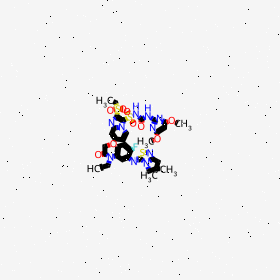 C#CCN1C(=O)COc2cc(F)c(/N=c3\snc4n3CC(C)(C)C4)cc21.CCS(=O)(=O)c1nc2ccccn2c1S(=O)(=O)NC(=O)Nc1nc(OC)cc(OC)n1